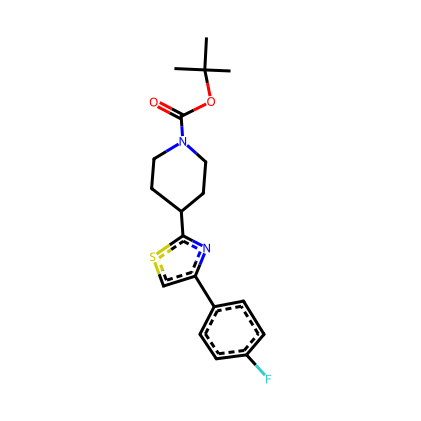 CC(C)(C)OC(=O)N1CCC(c2nc(-c3ccc(F)cc3)cs2)CC1